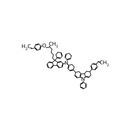 C=Cc1ccc(OCC(C)CCCCC2(C3=CC=CCC3)c3ccccc3-c3ccc(N(C4=CCCC=C4)C4=CC=C(C5C=CC6=C(C5)C5CC(c7ccc(C=C)cc7)CC=C5N6c5ccccc5)CC4)cc32)cc1